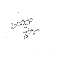 CC(=O)N[C@@H](Cc1cncs1)[C@H](O)CN[C@H]1CC2(CCC2)Oc2ncc(CC(C)(C)C)cc21